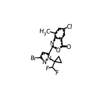 Cc1cc(Cl)cc2c(=O)oc(-c3cc(Br)nn3C3(C(F)F)CC3)nc12